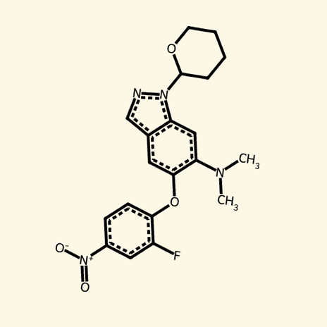 CN(C)c1cc2c(cnn2C2CCCCO2)cc1Oc1ccc([N+](=O)[O-])cc1F